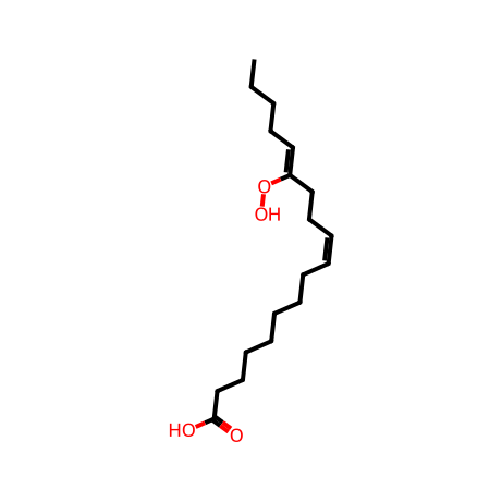 CCCC/C=C(/CC/C=C\CCCCCCCC(=O)O)OO